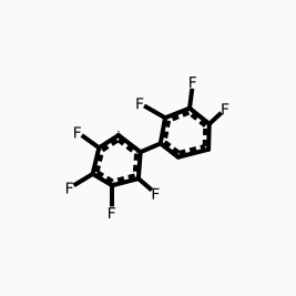 Fc1[c]c(-c2ccc(F)c(F)c2F)c(F)c(F)c1F